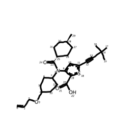 C=CCOC1CCC(N(c2cc(C#CC(C)(C)C)sc2C(=O)O)C(=O)[C@H]2CC[C@H](C)CC2)CC1